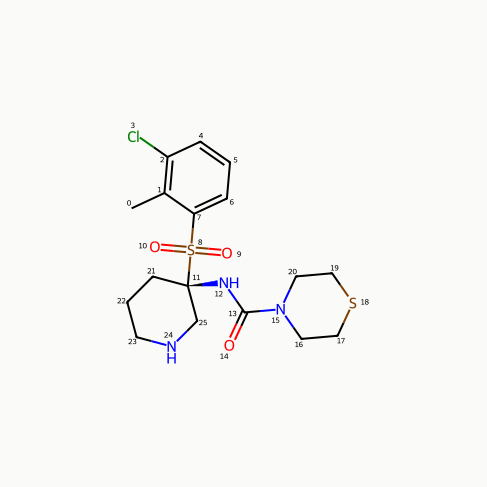 Cc1c(Cl)cccc1S(=O)(=O)[C@@]1(NC(=O)N2CCSCC2)CCCNC1